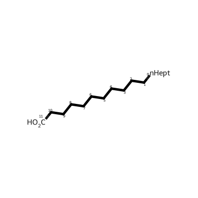 CCCCCCCCCCCCCCCCC[13C](=O)O